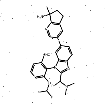 CCC(c1nc2ccc(-c3cnc4c(c3)CCC4(C)N)cc2n1-c1c(C=O)cccc1OC(F)F)N(C)C